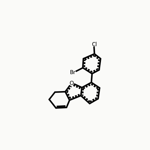 Clc1ccc(-c2cccc3c4c(oc23)CCC=C4)c(Br)c1